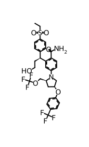 CCS(=O)(=O)c1ccc([C@H](CCO)c2cc(N3C[C@@H](Oc4ccc(C(F)(F)F)cc4)C[C@H]3COC(F)(F)F)ccc2C(N)=O)cc1